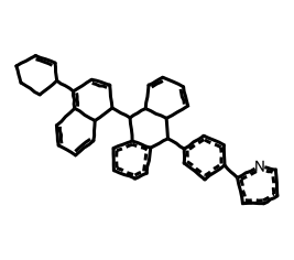 C1=CC2=C(C3C=CCCC3)C=CC(C3c4ccccc4C(c4ccc(-c5ccccn5)cc4)C4C=CC=CC43)C2C=C1